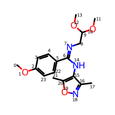 COc1ccc(/C(=N/CC(OC)OC)Nc2c(C)noc2C)cc1